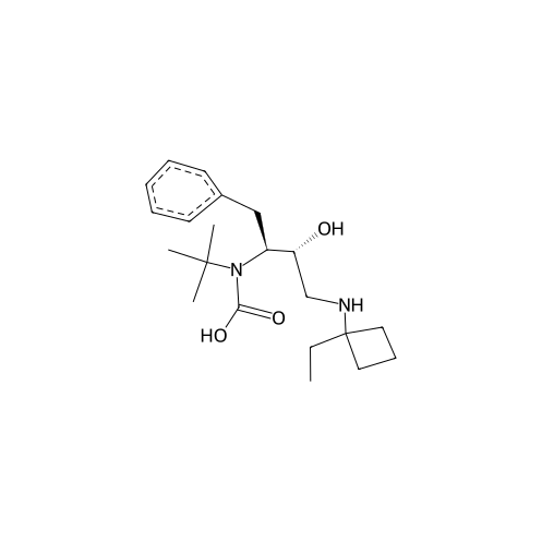 CCC1(NC[C@@H](O)[C@H](Cc2ccccc2)N(C(=O)O)C(C)(C)C)CCC1